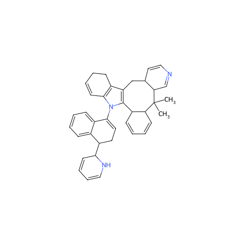 CC1(C)C2C=NC=CC2Cc2c3c(n(C4=CCC(C5C=CC=CN5)c5ccccc54)c2C2C=CC=CC21)C=CCC3